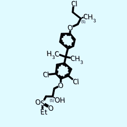 CCS(=O)(=O)C[C@@H](O)COc1c(Cl)cc(C(C)(C)c2ccc(OC[C@H](C)CCl)cc2)cc1Cl